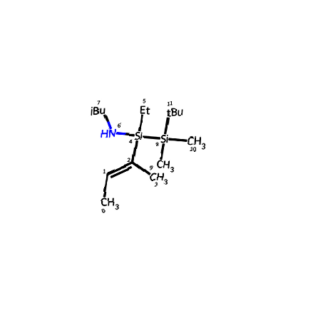 C/C=C(\C)[Si](CC)(NC(C)CC)[Si](C)(C)C(C)(C)C